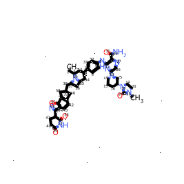 CCC1CC(c2ccc(Nc3nc(N4CCC[C@@H](N5CCN(C)C5=O)C4)cnc3C(N)=O)cc2)CC2CC(CC3Cc4ccc5c(C6CCC(=O)NC6=O)noc5c4C3)N12